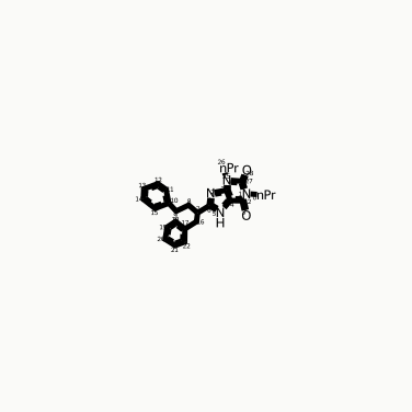 CCCn1c(=O)c2[nH]c(C(CCc3ccccc3)Cc3ccccc3)nc2n(CCC)c1=O